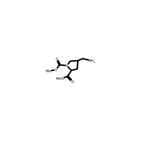 COC(=O)C1CC(CN)CN1C(=O)OC(C)(C)C